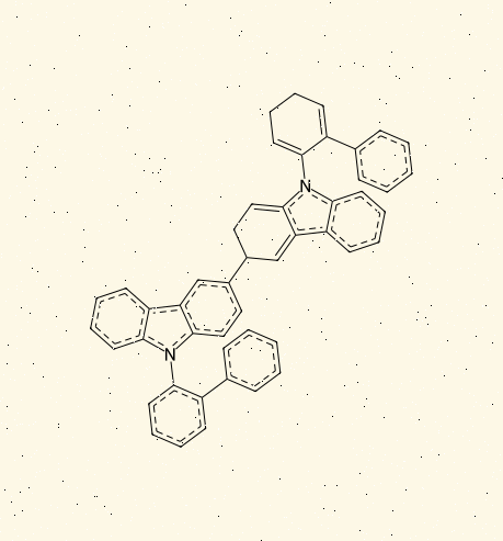 C1=C(c2ccccc2)C(n2c3c(c4ccccc42)=CC(c2ccc4c(c2)c2ccccc2n4-c2ccccc2-c2ccccc2)CC=3)=CCC1